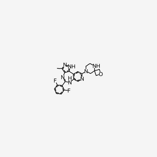 Cc1n[nH]c2c1N=C(c1c(F)cccc1F)Nc1cnc(N3CCNC4(COC4)C3)cc1-2